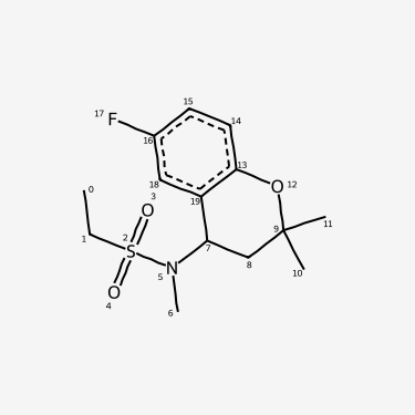 CCS(=O)(=O)N(C)C1CC(C)(C)Oc2ccc(F)cc21